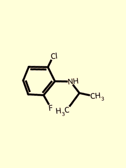 CC(C)Nc1c(F)cccc1Cl